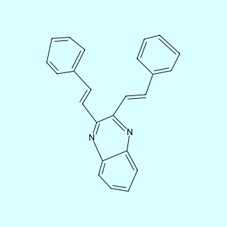 C(=Cc1nc2ccccc2nc1C=Cc1ccccc1)c1ccccc1